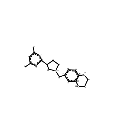 Cc1cc(C)nc(C2CCN(Cc3ccc4c(c3)OCCO4)C2)n1